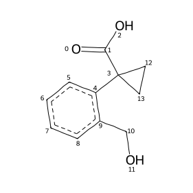 O=C(O)C1(c2ccccc2CO)CC1